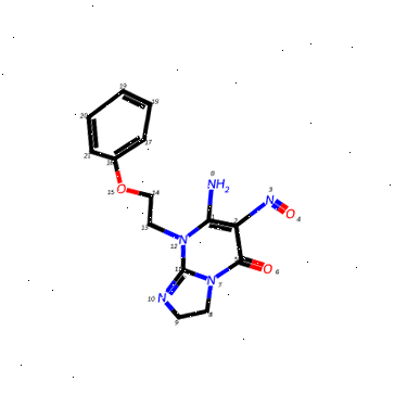 NC1=C(N=O)C(=O)N2CCN=C2N1CCOc1ccccc1